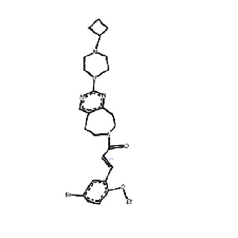 CCOc1ccc(Br)cc1/C=C/C(=O)N1CCc2cnc(N3CCN(C4CCC4)CC3)nc2CC1